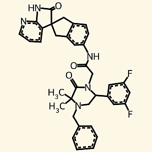 CC1(C)C(=O)N(CC(=O)Nc2ccc3c(c2)CC2(C3)C(=O)Nc3ncccc32)C(c2cc(F)cc(F)c2)CN1Cc1ccccc1